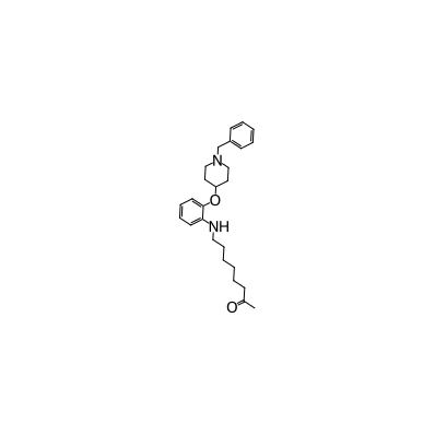 CC(=O)CCCCCCNc1ccccc1OC1CCN(Cc2ccccc2)CC1